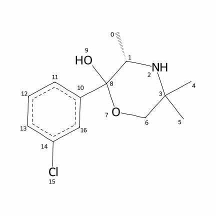 C[C@@H]1NC(C)(C)COC1(O)c1cccc(Cl)c1